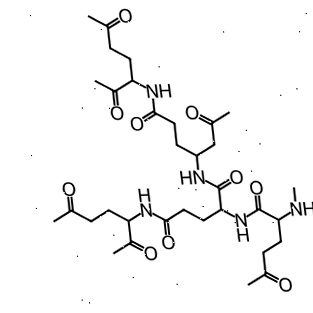 CNC(CCC(C)=O)C(=O)NC(CCC(=O)NC(CCC(C)=O)C(C)=O)C(=O)NC(CCC(=O)NC(CCC(C)=O)C(C)=O)CC(C)=O